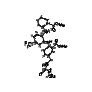 COC(=O)c1ccccc1Nc1ccc(C(F)(F)F)cc1Nc1ccc(CNC(=O)OC(C)(C)C)cc1C(=O)OC